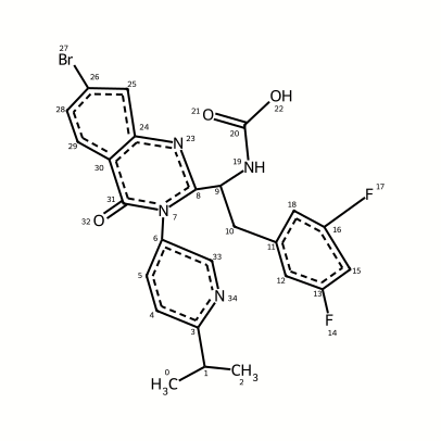 CC(C)c1ccc(-n2c(C(Cc3cc(F)cc(F)c3)NC(=O)O)nc3cc(Br)ccc3c2=O)cn1